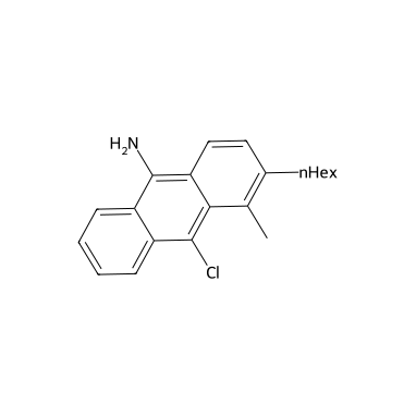 CCCCCCc1ccc2c(N)c3ccccc3c(Cl)c2c1C